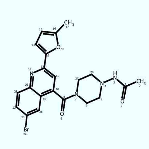 CC(=O)NN1CCN(C(=O)c2cc(-c3ccc(C)o3)nc3ccc(Br)cc23)CC1